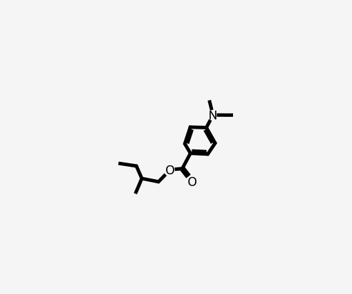 CCC(C)COC(=O)c1ccc(N(C)C)cc1